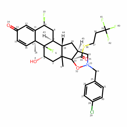 CC12C[C@H](O)[C@@]3(F)[C@@H](C[C@H](F)C4=CC(=O)C=C[C@@]43C)[C@@H]1C[C@H]1CN(Cc3ccc(Cl)cc3)O[C@]12C(=O)SCCC(F)(F)F